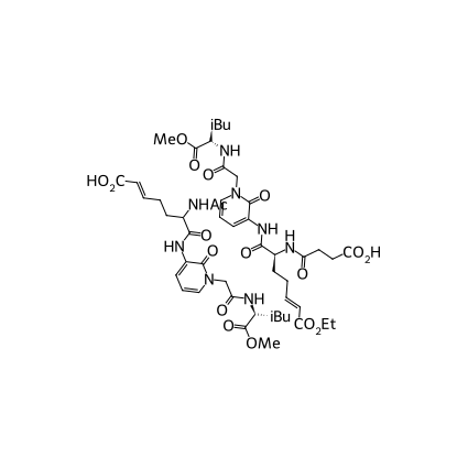 CCOC(=O)C=CCC[C@H](NC(=O)CCC(=O)O)C(=O)Nc1cccn(CC(=O)N[C@H](C(=O)OC)[C@H](C)CC)c1=O.CC[C@@H](C)[C@H](NC(=O)Cn1cccc(NC(=O)C(CCC=CC(=O)O)NC(C)=O)c1=O)C(=O)OC